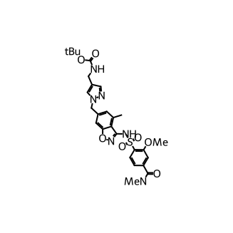 CNC(=O)c1ccc(S(=O)(=O)Nc2noc3cc(Cn4cc(CNC(=O)OC(C)(C)C)cn4)cc(C)c23)c(OC)c1